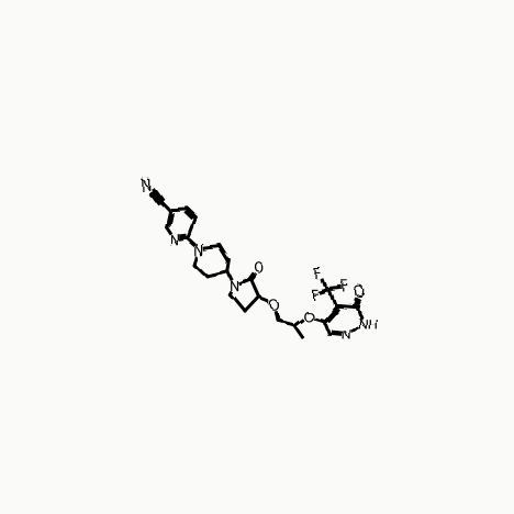 CC(COC1CCN(C2CCN(c3ccc(C#N)cn3)CC2)C1=O)Oc1cn[nH]c(=O)c1C(F)(F)F